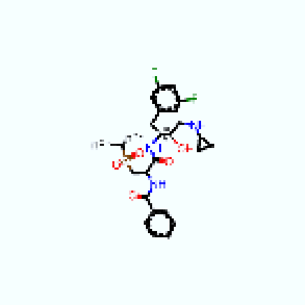 CCCC(CCC)S(=O)(=O)CC(NC(=O)c1ccccc1)C(=O)N[C@@H](Cc1cc(F)cc(F)c1)[C@H](O)CNC1CC1